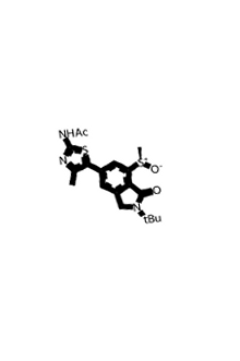 CC(=O)Nc1nc(C)c(-c2cc3c(c([S@@+](C)[O-])c2)C(=O)N(C(C)(C)C)C3)s1